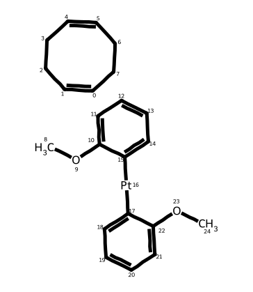 C1=CCCC=CCC1.COc1cccc[c]1[Pt][c]1ccccc1OC